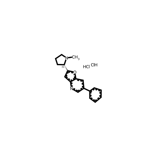 CN1CCC[C@H]1c1cc2ncc(-c3ccccc3)cc2o1.Cl.Cl